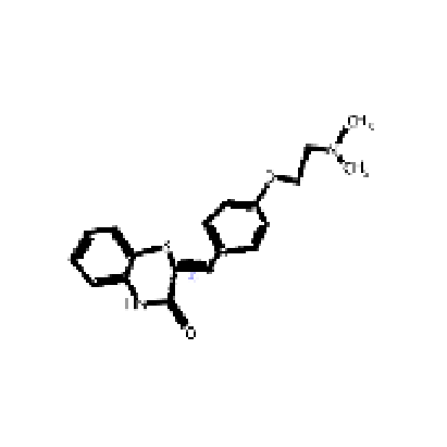 CN(C)CCOc1ccc(/C=C2\Sc3ccccc3NC2=O)cc1